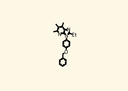 CCc1nc2c(C)c(C)c(C)nc2n1-c1ccc(OCc2ccccc2)cc1